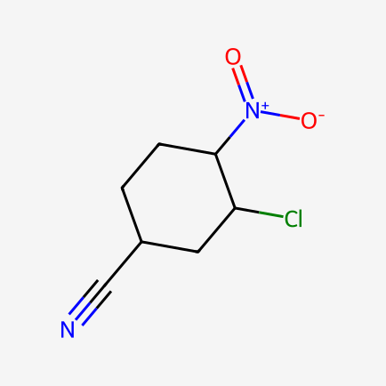 N#CC1CCC([N+](=O)[O-])C(Cl)C1